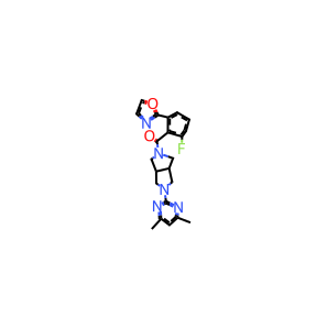 Cc1cc(C)nc(N2CC3CN(C(=O)c4c(F)cccc4-c4ncco4)CC3C2)n1